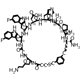 C[C@H]1NC(=O)[C@H](Cc2cnc[nH]2)NC(=O)[C@H](CC(=O)O)NC(=O)[C@H](Cc2c[nH]c3ccc(F)cc23)NC(=O)[C@H](Cc2c[nH]c3ccc(F)cc23)NC(=O)CNC(=O)[C@H](CCCCN)NC(=O)CCSCc2cccc(c2)CSC[C@@H](C(N)=O)NC(=O)[C@]2(C)CCCN2C1=O